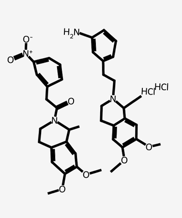 COc1cc2c(cc1OC)C(C)N(C(=O)Cc1cccc([N+](=O)[O-])c1)CC2.COc1cc2c(cc1OC)C(C)N(CCc1cccc(N)c1)CC2.Cl.Cl